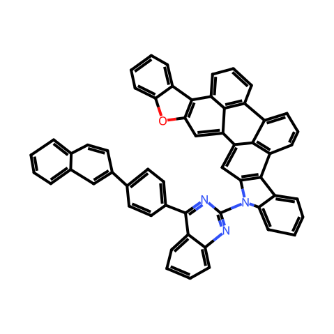 c1ccc2cc(-c3ccc(-c4nc(-n5c6ccccc6c6c7cccc8c9cccc%10c%11c(cc(c(cc65)c87)c9%10)oc5ccccc5%11)nc5ccccc45)cc3)ccc2c1